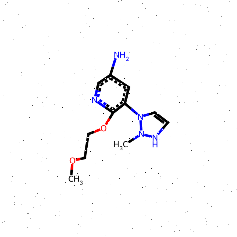 COCCOc1ncc(N)cc1N1C=CNN1C